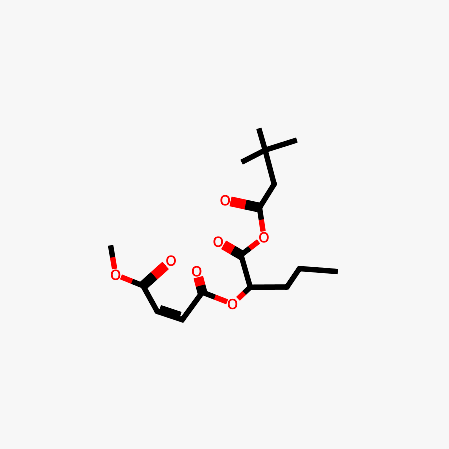 CCCC(OC(=O)/C=C\C(=O)OC)C(=O)OC(=O)CC(C)(C)C